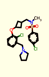 CN(CC1CC(Oc2cccc(CN3CCCC3)c2Cl)C1)S(=O)(=O)c1ccc(Cl)cc1